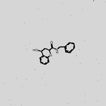 O=C(NCc1ccccc1)C1CC(O)c2ccccc2O1